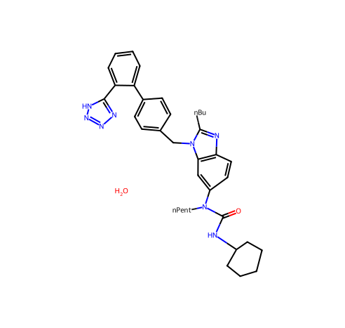 CCCCCN(C(=O)NC1CCCCC1)c1ccc2nc(CCCC)n(Cc3ccc(-c4ccccc4-c4nnn[nH]4)cc3)c2c1.O